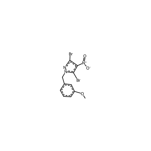 COc1cccc(Cn2nc(Br)c([N+](=O)[O-])c2Br)c1